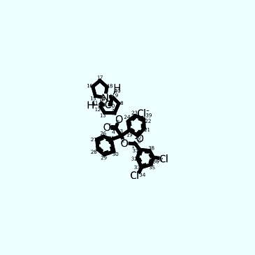 O=C(OC(C(=O)O[C@H]1C[C@H]2CC[C@@H](C1)[N+]21CCCC1)(c1ccccc1)c1ccccc1)c1cc(Cl)cc(Cl)c1.[Cl-]